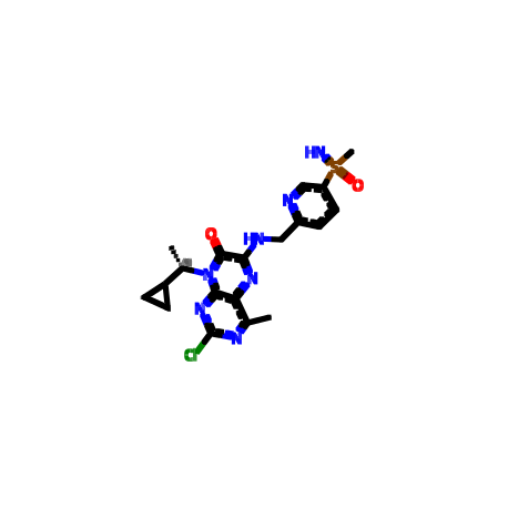 Cc1nc(Cl)nc2c1nc(NCc1ccc(S(C)(=N)=O)cn1)c(=O)n2[C@@H](C)C1CC1